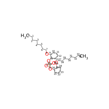 CCCCCCCCOc1ccccc1OS(=O)(=O)Oc1ccccc1OCCCCCCCC